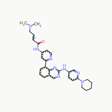 CN(C)C/C=C/C(=O)Nc1ccnc(-c2cccc3cnc(Nc4ccc(N5CCCCC5)nc4)nc23)c1